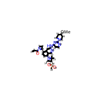 C=CC(=O)N1CC[C@H]1c1ccc(N2[C@H](C)[C@@H](CS(C)(=O)=O)C2(C)C)c2cnc(Nc3ccnc(N4CCC(OC)CC4)n3)cc12